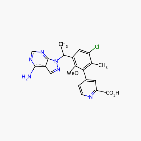 COc1c(C(C)n2ncc3c(N)ncnc32)cc(Cl)c(C)c1-c1ccnc(C(=O)O)c1